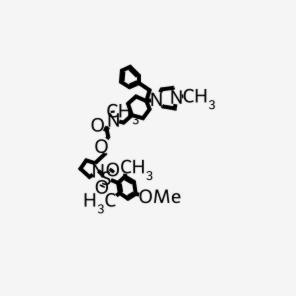 COc1cc(C)c(S(=O)(=O)N2CCCC2COCC(=O)N(C)CC2CCC(Cc3ccccc3)(N3CCN(C)CC3)CC2)c(C)c1